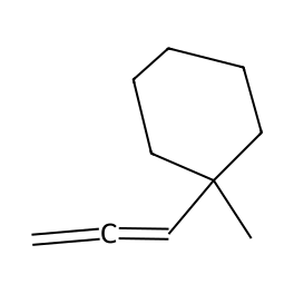 C=C=CC1(C)CCCCC1